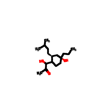 CCC[C@@]1(O)CCC(C(O)C(C)=O)[C@H](CCC(C)C)C1